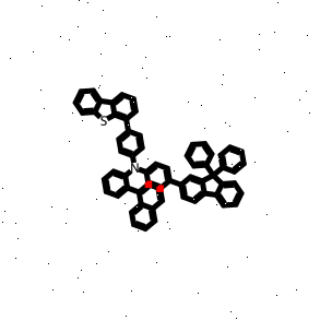 c1ccc(C2(c3ccccc3)c3ccccc3-c3ccc(-c4ccc(N(c5ccc(-c6cccc7c6sc6ccccc67)cc5)c5ccccc5-c5cccc6ccccc56)cc4)cc32)cc1